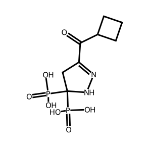 O=C(C1=NNC(P(=O)(O)O)(P(=O)(O)O)C1)C1CCC1